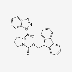 O=C(OCC1c2ccccc2-c2ccccc21)N1CCC[C@H]1C(=O)n1nnc2ccccc21